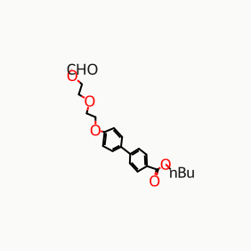 CCCCOC(=O)c1ccc(-c2ccc(OCCOCCOC=O)cc2)cc1